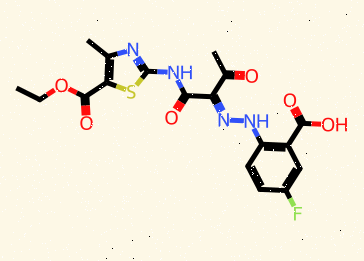 CCOC(=O)c1sc(NC(=O)/C(=N/Nc2ccc(F)cc2C(=O)O)C(C)=O)nc1C